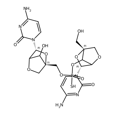 Nc1ccn([C@@H]2O[C@]3(COP(=O)(S)OC4C5OC[C@@]4(CO)O[C@H]5n4ccc(N)nc4=O)COC2C3O)c(=O)n1